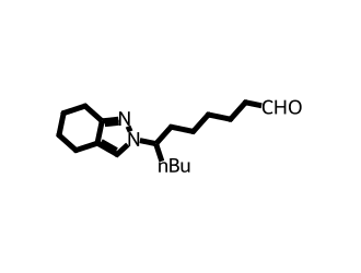 CCCCC(CCCCCC=O)n1cc2c(n1)CCCC2